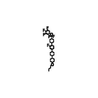 CCCCOC1CCC(C2CCC(c3ccc(C4CCC(C(F)(F)Oc5cc(F)c(F)c(F)c5)CC4)c(F)c3)CC2)CC1